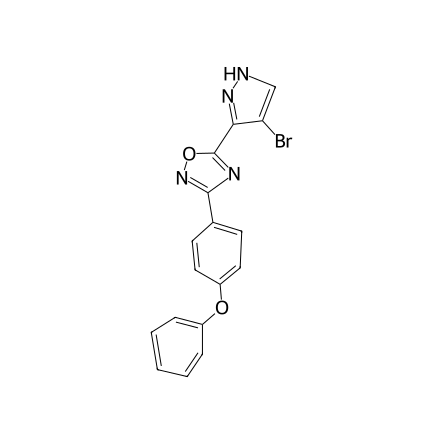 Brc1c[nH]nc1-c1nc(-c2ccc(Oc3ccccc3)cc2)no1